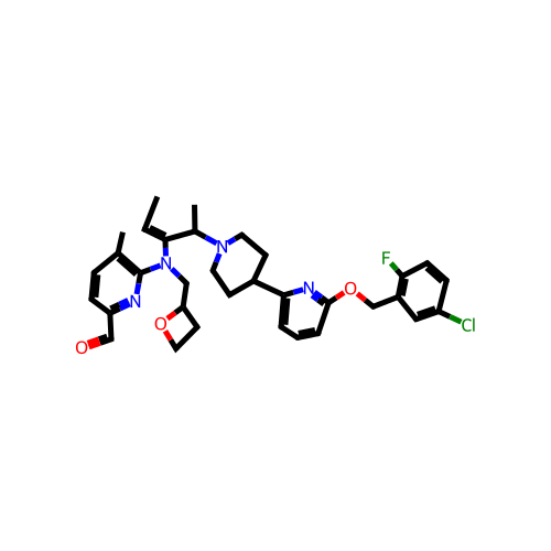 C/C=C(\C(C)N1CCC(c2cccc(OCc3cc(Cl)ccc3F)n2)CC1)N(CC1CCO1)c1nc(C=O)ccc1C